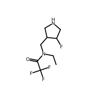 CCN(CC1CNCC1F)C(=O)C(F)(F)F